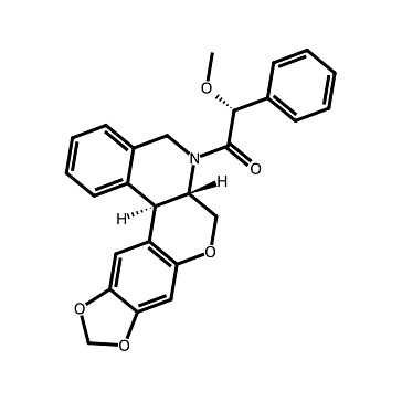 CO[C@@H](C(=O)N1Cc2ccccc2[C@@H]2c3cc4c(cc3OC[C@H]21)OCO4)c1ccccc1